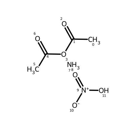 CC(=O)OC(C)=O.N.O=[N+]([O-])O